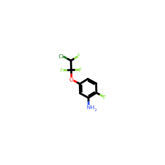 Nc1cc(OC(F)(F)C(F)Cl)ccc1F